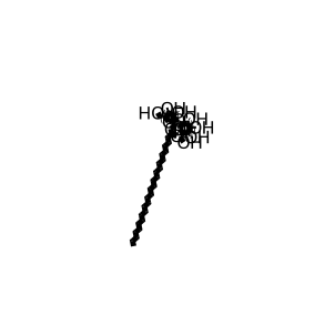 CCCCCCCCCCCCCCCCCCCCCCCCCCC(=O)OC[C@@]1(O[C@H]2O[C@H](CO)[C@@H](O)[C@H](O)[C@H]2O)O[C@H](CO)[C@@H](O)[C@@H]1O